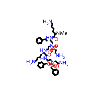 CN[C@@H](CCCCN)C(=O)N[C@@H](CCc1ccccc1)CN(CC(=O)N[C@@H](CCCCN)C(=O)N[C@@H](Cc1ccccc1)CN(CC(N)=O)S(=O)(=O)Cc1ccccc1)S(=O)(=O)CCN